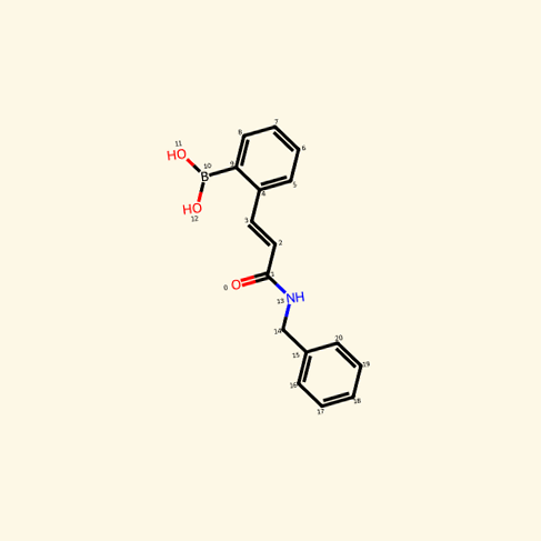 O=C(/C=C/c1ccccc1B(O)O)NCc1ccccc1